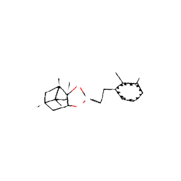 CC(=O)c1cccc(C[C@H](C)B2OC3C[C@@H]4C[C@@H](C4(C)C)[C@]3(C)O2)c1C